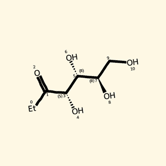 CCC(=O)[C@@H](O)[C@H](O)[C@H](O)CO